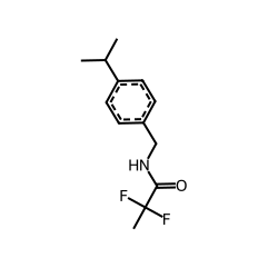 CC(C)c1ccc(CNC(=O)C(C)(F)F)cc1